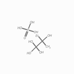 CCC(C)(O)C(O)(O)O.O=P(O)(O)O